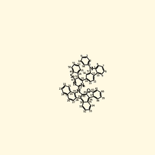 c1ccc(-n2c3ccccc3c3ccc(-c4nc(-n5c6c7ccccc7ccc6c6c7ccccc7c7c8ccccc8oc7c65)nc5sc6ccccc6c45)cc32)cc1